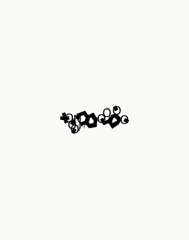 COC[C@H]1c2ccc(OCc3ccc(OC)c(OC)c3OC)cc2CCN1C(=O)OC(C)(C)C